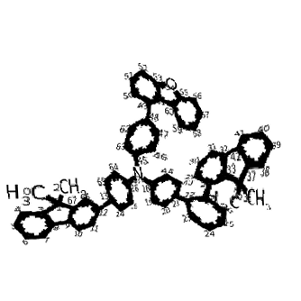 CC1(C)c2ccccc2-c2ccc(-c3ccc(N(c4ccc(-c5ccccc5-c5cccc6c5C(C)(C)c5ccccc5-6)cc4)c4ccc(-c5cccc6oc7ccccc7c56)cc4)cc3)cc21